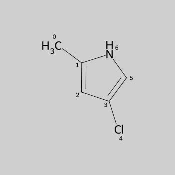 Cc1cc(Cl)c[nH]1